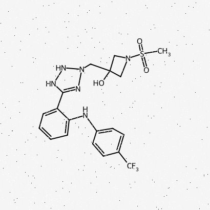 CS(=O)(=O)N1CC(O)(CN2N=C(c3ccccc3Nc3ccc(C(F)(F)F)cc3)NN2)C1